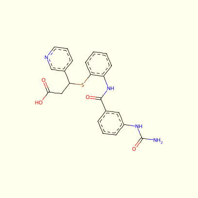 NC(=O)Nc1cccc(C(=O)Nc2ccccc2SC(CC(=O)O)c2cccnc2)c1